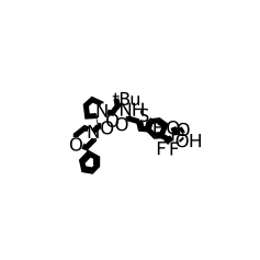 CC(C)(C)C(NC(=O)c1cc2cc(C(F)(F)P(=O)(O)O)ccc2s1)C(=O)N1CCCC[C@H]1C(=O)N1CCO[C@H](c2ccccc2)C1